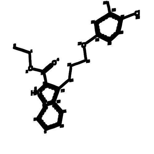 CCOC(=O)c1[nH]c2ccccc2c1CCCOc1ccc(Cl)c(C)c1